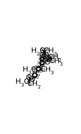 C=C(C)C(=O)Oc1ccc(-c2cc(C)c(-c3ccc4c(c3)CC(OC(=O)C(=C)C)C4OC(=O)C(=C)C)cc2C)cc1